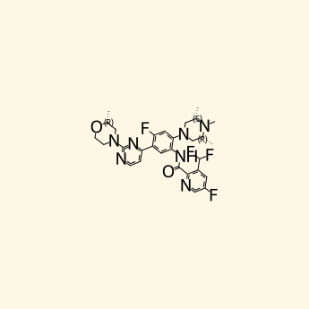 C[C@@H]1CN(c2nccc(-c3cc(NC(=O)c4ncc(F)cc4C(F)F)c(N4C[C@@H](C)N(C)[C@@H](C)C4)cc3F)n2)CCO1